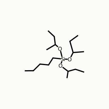 CCCCC[Si](OC(C)CC)(OC(C)CC)OC(C)CC